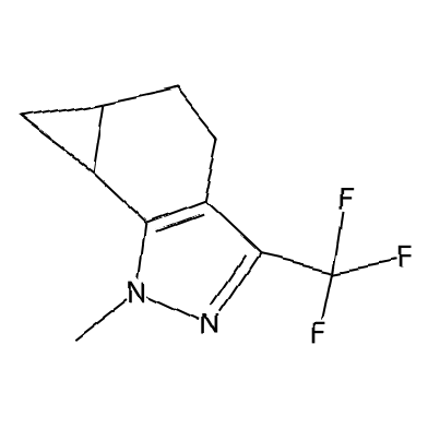 Cn1nc(C(F)(F)F)c2c1C1CC1CC2